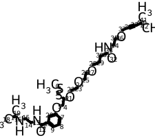 CSSC(COc1cccc(C(=O)NCCNC(C)C)c1)OCCOCCOCCCC(=O)NCCOCC#CC(C)C